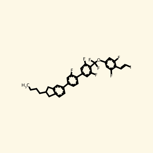 CCCCC1Cc2ccc(-c3ccc(-c4cc(F)c(C(F)(F)Oc5cc(F)c(C=CI)c(F)c5)c(F)c4)c(F)c3)cc2C1